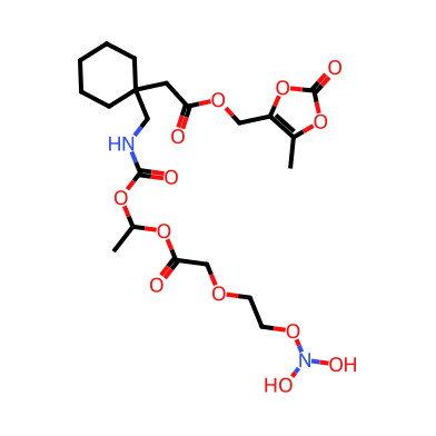 Cc1oc(=O)oc1COC(=O)CC1(CNC(=O)OC(C)OC(=O)COCCON(O)O)CCCCC1